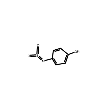 O=S(=O)=Nc1ccc(O)cc1